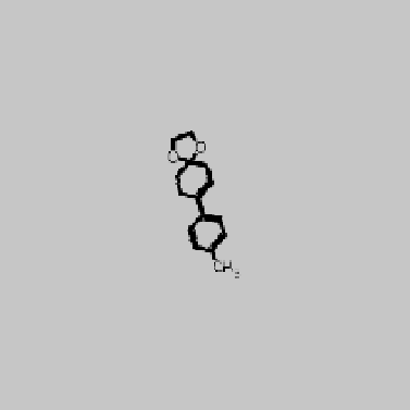 Cc1ccc(C2=CCC3(CC2)OCCO3)cc1